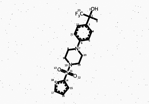 CC(O)(c1ccc(N2CCN(S(=O)(=O)c3cccs3)CC2)cc1)C(F)(F)F